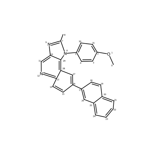 COc1ccc(-n2c(C)nc3cnc4ccc(-c5ccc6ccccc6c5)cc4c32)cc1